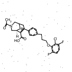 CC(=O)N1CC2CC(c3ccc(CCCOc4c(F)ccc(F)c4Cl)cc3)=C(C(=O)O)[C@@H](C1)N2